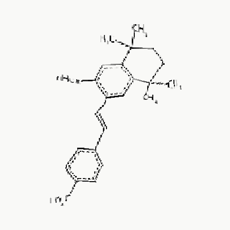 CCCCCCc1cc2c(cc1C=Cc1ccc(C(=O)O)cc1)C(C)(C)CCC2(C)C